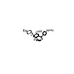 CCN1CCC(COc2cc3ncnc(-c4ccc(NC(C)=O)cc4)c3cc2OC)CC1